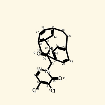 O=C(Cn1ncc(Cl)c(Cl)c1=O)Nc1cc2ccc1CCc1ccc(cc1)CC2